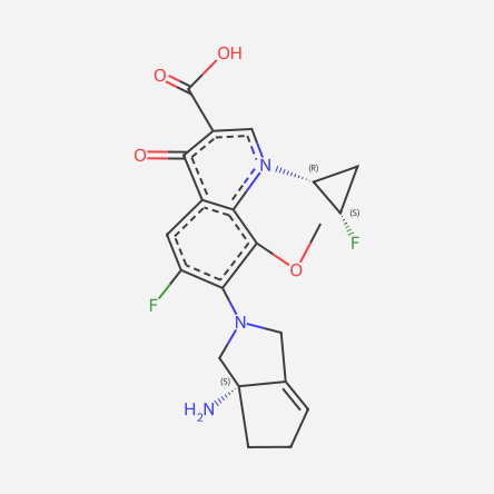 COc1c(N2CC3=CCC[C@@]3(N)C2)c(F)cc2c(=O)c(C(=O)O)cn([C@@H]3C[C@@H]3F)c12